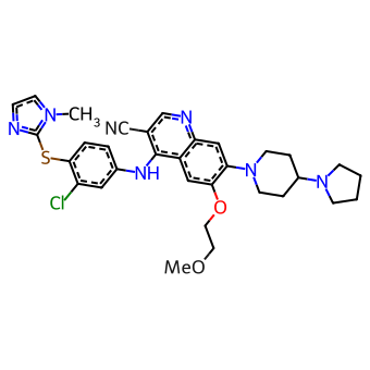 COCCOc1cc2c(Nc3ccc(Sc4nccn4C)c(Cl)c3)c(C#N)cnc2cc1N1CCC(N2CCCC2)CC1